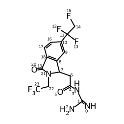 N=C(N)NC(=O)CC1c2cc(C(F)(F)CF)ccc2C(=O)N1CC(F)(F)F